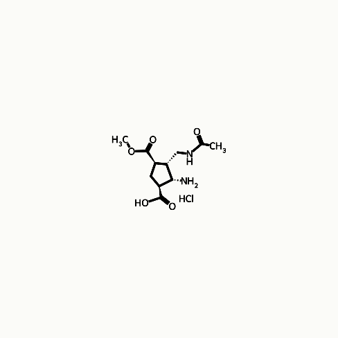 COC(=O)[C@@H]1C[C@H](C(=O)O)[C@@H](N)[C@H]1CNC(C)=O.Cl